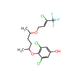 CC(CCC(C)Oc1c(Cl)cc(O)cc1Cl)OCC=C(Cl)C(F)(F)F